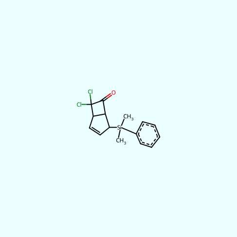 C[Si](C)(c1ccccc1)C1C=CC2C1C(=O)C2(Cl)Cl